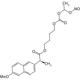 COc1ccc2cc([C@H](C)C(=O)OCCCCOC(=O)OC(C)ON=O)ccc2c1